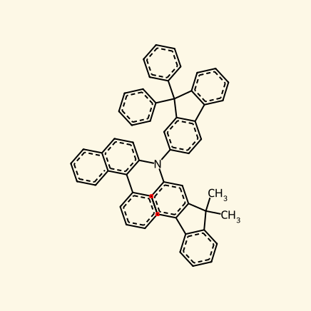 CC1(C)c2ccccc2-c2ccc(N(c3ccc4c(c3)C(c3ccccc3)(c3ccccc3)c3ccccc3-4)c3ccc4ccccc4c3-c3ccccc3)cc21